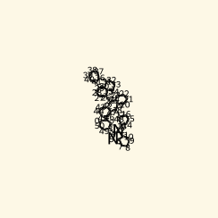 c1ccc(-c2nc3ccccc3n2-c2cccc(-c3c4ccccc4c(-c4ccc5c6c(cccc46)-c4ccccc4-5)c4ccccc34)c2)cc1